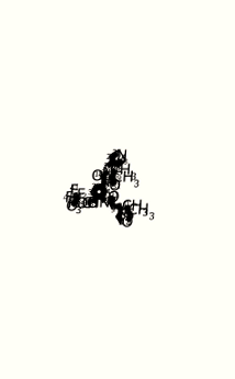 CC1(C)COCCN1CCC(=O)Nc1cc(N2C(=O)N(Cc3ccncc3)C(C)(C)C2=O)ccc1OC(F)(F)F.O=C(O)C(F)(F)F